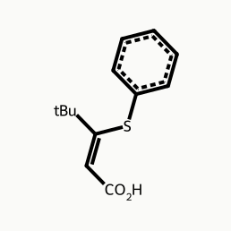 CC(C)(C)/C(=C/C(=O)O)Sc1ccccc1